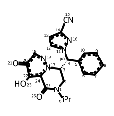 CC(C)N1CC([C@@H](c2ccccc2)n2ccc(C#N)n2)n2ncc(=O)c(O)c2C1=O